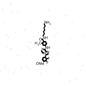 COc1ccc(-c2cnc3c(Nc4ccc(C(=O)NCCCCCCCN)c(C)c4)nccn23)c(F)c1F